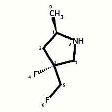 C[C@@H]1C[C@](F)(CF)CN1